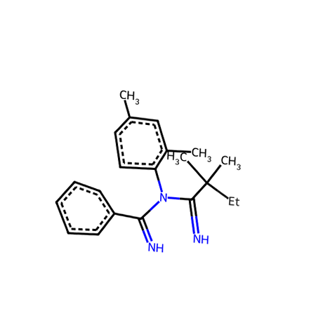 CCC(C)(C)C(=N)N(C(=N)c1ccccc1)c1ccc(C)cc1C